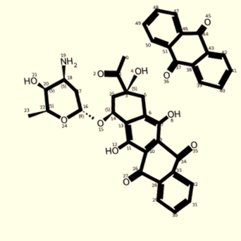 CC(=O)[C@]1(O)Cc2c(O)c3c(c(O)c2[C@@H](O[C@H]2C[C@H](N)[C@H](O)[C@H](C)O2)C1)C(=O)c1ccccc1C3=O.O=C1c2ccccc2C(=O)c2ccccc21